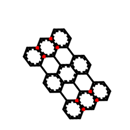 c1ccc(-c2ccc(-c3ccccc3)c3c(-c4ccccc4)c4c(-c5ccccc5)ccc(-c5ccccc5)c4c(-c4ccccc4)c23)cc1